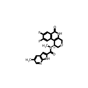 Cc1cnc2[nH]c(C(=O)N(C)[C@@H]3COCc4[nH]c(=O)c5cc(F)c(F)cc5c43)cc2c1